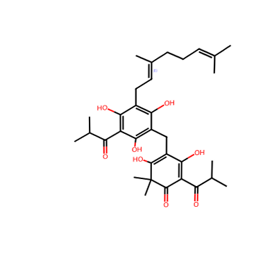 CC(C)=CCC/C(C)=C/Cc1c(O)c(CC2=C(O)C(C)(C)C(=O)C(C(=O)C(C)C)=C2O)c(O)c(C(=O)C(C)C)c1O